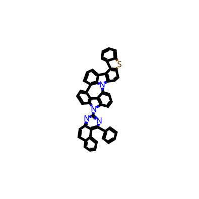 c1ccc(-c2nc(-n3c4cccc5c6cccc7c8c9c(ccc8n(c8cccc3c8c54)c67)sc3ccccc39)nc3ccc4ccccc4c23)cc1